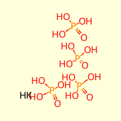 O=P(O)(O)O.O=P(O)(O)O.O=P(O)(O)O.O=P(O)(O)O.[KH]